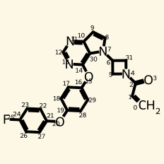 C=CC(=O)N1CC(n2ccc3ncnc(Oc4ccc(Oc5ccc(F)cc5)cc4)c32)C1